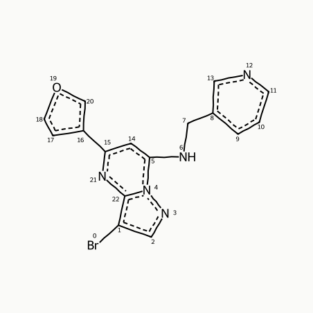 Brc1cnn2c(NCc3cccnc3)cc(-c3ccoc3)nc12